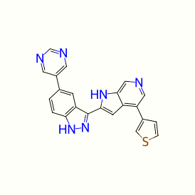 c1ncc(-c2ccc3[nH]nc(-c4cc5c(-c6ccsc6)cncc5[nH]4)c3c2)cn1